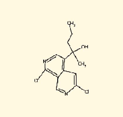 CCCC(C)(O)c1cnc(Cl)c2cnc(Cl)cc12